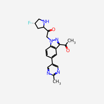 CC(=O)c1nn(CC(=O)C2C[C@H](F)CN2)c2ccc(-c3cnc(C)nc3)cc12